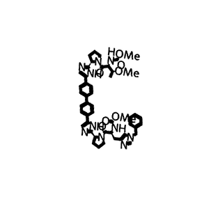 COC(=O)N[C@@H](Cc1cn(Cc2ccccc2)cn1)C(=O)N1CCC[C@H]1c1ncc(-c2ccc(-c3ccc(-c4cnc([C@@H]5CCCN5C(=O)[C@@H](NC(=O)OC)[C@@H](C)OC)[nH]4)cc3)cc2)[nH]1